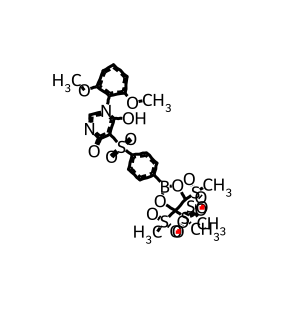 COc1cccc(OC)c1-n1cnc(=O)c(S(=O)(=O)c2ccc(B3OC(S(C)(=O)=O)(S(C)(=O)=O)C(S(C)(=O)=O)(S(C)(=O)=O)O3)cc2)c1O